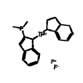 CP(C)C1=Cc2ccccc2[CH]1[Ti+2][CH]1CCC2CC=CC=C21.[F-].[F-]